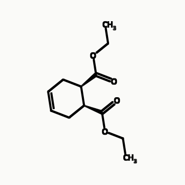 CCOC(=O)[C@H]1CC=CC[C@H]1C(=O)OCC